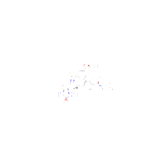 COc1ccc2c(c1)C(=O)N(C[C@]1(C#Cc3ccc(C(=O)NC4CC4)cc3)NC(=O)NC1=O)C2